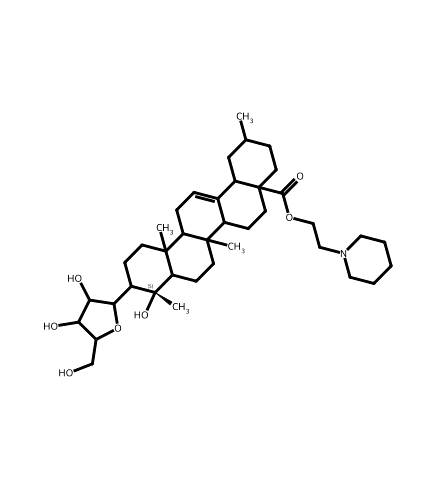 CC1CCC2(C(=O)OCCN3CCCCC3)CCC3C(=CCC4C3(C)CCC3C4(C)CCC(C4OC(CO)C(O)C4O)[C@@]3(C)O)C2C1